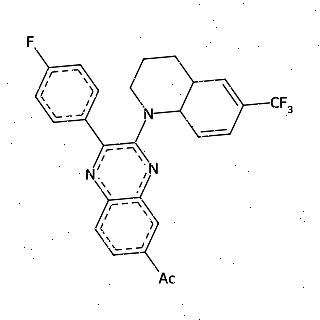 CC(=O)c1ccc2nc(-c3ccc(F)cc3)c(N3CCCC4C=C(C(F)(F)F)C=CC43)nc2c1